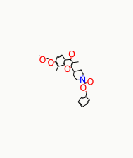 COCOc1ccc2c(=O)c(C)c(C3CCN(C(=O)OCc4ccccc4)CC3)oc2c1C